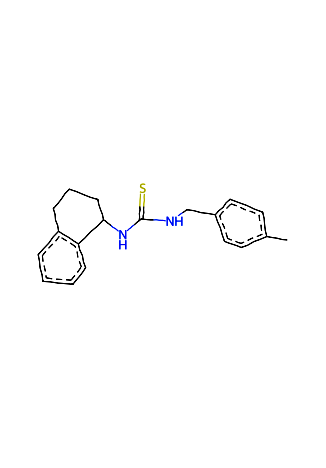 Cc1ccc(CNC(=S)NC2CCCc3ccccc32)cc1